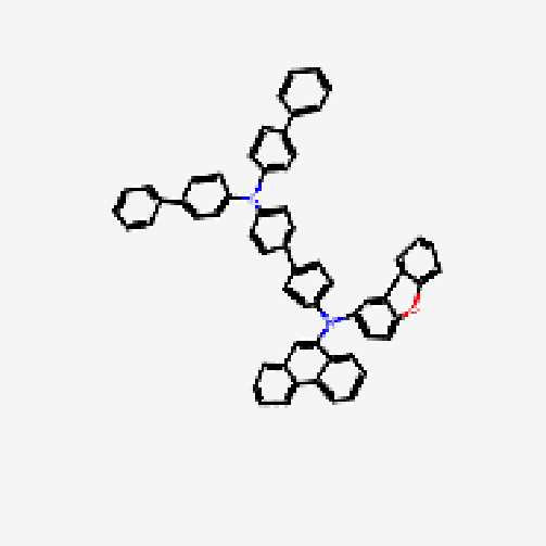 c1ccc(-c2ccc(N(c3ccc(-c4ccccc4)cc3)c3ccc(-c4ccc(N(c5ccc6oc7ccccc7c6c5)c5cc6ccccc6c6ccccc56)cc4)cc3)cc2)cc1